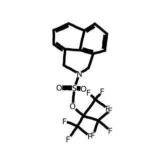 O=S(=O)(OC(C(F)(F)F)(C(F)(F)F)C(F)(F)F)N1Cc2cccc3cccc(c23)C1